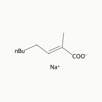 CCCCCC=C(C)C(=O)[O-].[Na+]